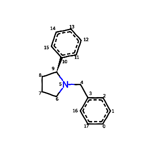 c1ccc(CN2CCC[C@H]2c2ccccc2)cc1